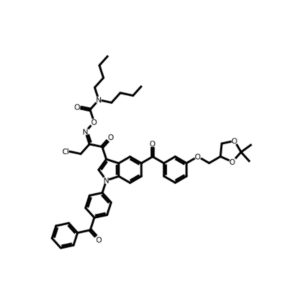 CCCCN(CCCC)C(=O)O/N=C(/CCl)C(=O)c1cn(-c2ccc(C(=O)c3ccccc3)cc2)c2ccc(C(=O)c3cccc(OCC4COC(C)(C)O4)c3)cc12